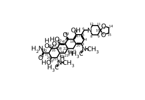 CN(C)c1cc(CN2CCC3(CC2)OCCO3)c(O)c2c1C[C@H]1C[C@H]3[C@H](N(C)C)C(O)C(C(N)=O)C4(O)O[C@]34C(O)=C1C2=O